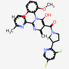 C=C1N=C(c2cccc(C)n2)N(c2c(OC)cccc2OC)C(O)=C1C(=O)N1CCC(c2ncc(F)cc2F)C1